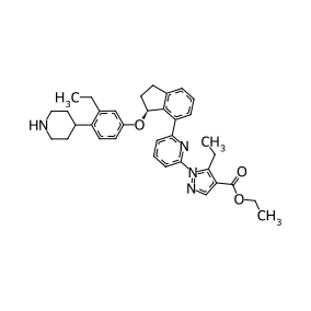 CCOC(=O)c1cnn(-c2cccc(-c3cccc4c3[C@@H](Oc3ccc(C5CCNCC5)c(CC)c3)CC4)n2)c1CC